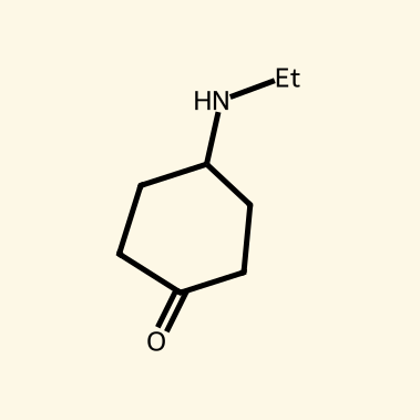 CCNC1CCC(=O)CC1